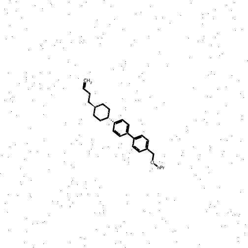 C=CCC[C@H]1CC[C@H](c2ccc(-c3ccc(COCCC)cc3)cc2)CC1